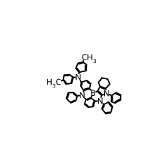 Cc1ccc(N(c2ccc(C)cc2)c2ccc3c(c2)N(c2ccccc2)c2cccc4c2B3c2c3c(n(-c5ccccc5)c2N4c2ccccc2)CCCC3)cc1